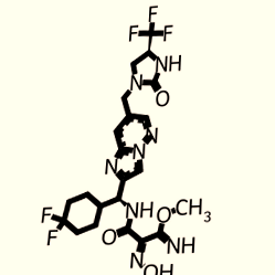 COC(=N)/C(=N\O)C(=O)N[C@H](c1cn2ncc(CN3C[C@@H](C(F)(F)F)NC3=O)cc2n1)C1CCC(F)(F)CC1